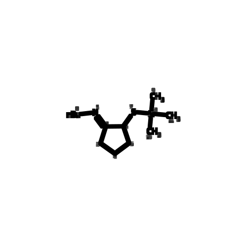 CCCC/N=C1\CCCC1S[Si](C)(C)C